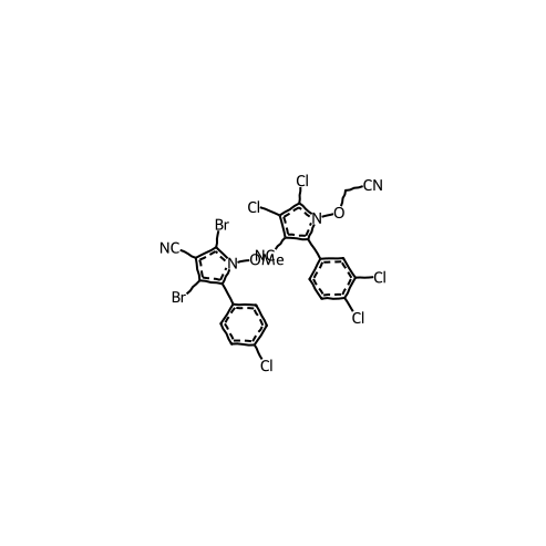 COn1c(Br)c(C#N)c(Br)c1-c1ccc(Cl)cc1.N#CCOn1c(Cl)c(Cl)c(C#N)c1-c1ccc(Cl)c(Cl)c1